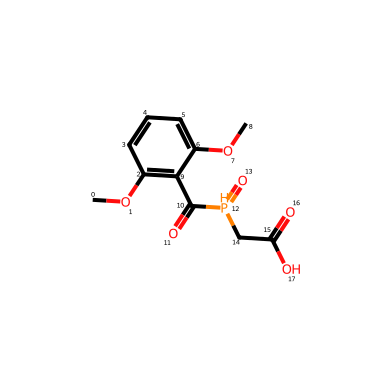 COc1cccc(OC)c1C(=O)[PH](=O)CC(=O)O